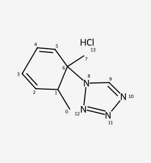 CC1C=CC=CC1(C)n1cnnn1.Cl